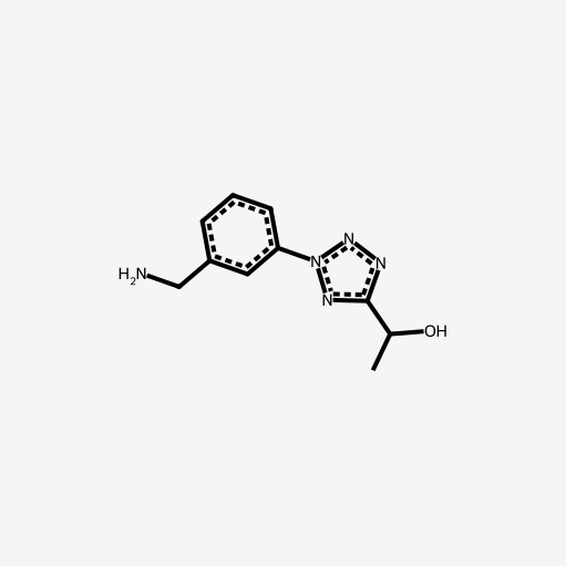 CC(O)c1nnn(-c2cccc(CN)c2)n1